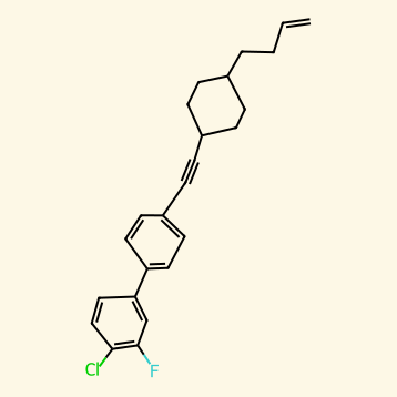 C=CCCC1CCC(C#Cc2ccc(-c3ccc(Cl)c(F)c3)cc2)CC1